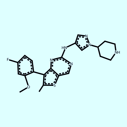 COc1cc(F)ccc1-c1c(C)sc2cnc(Nc3cnn(C4CCNCC4)c3)nc12